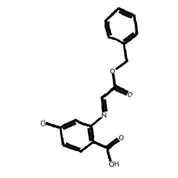 O=C(C=Nc1cc(Cl)ccc1C(=O)O)OCc1ccccc1